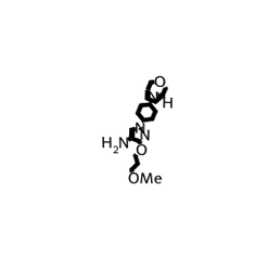 COCCCOc1nn([C@H]2CC[C@H](N3C4CC[C@@H]3COC4)CC2)cc1N